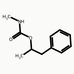 CNC(=O)OC(C)Cc1ccccc1